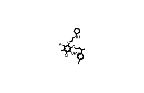 COc1c(Cl)c(C)c(C(C)=O)c(OCCNC2CCCC2)c1OCCC(C)c1ccc(F)cc1